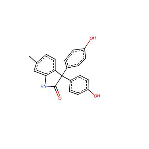 Cc1ccc2c(c1)NC(=O)C2(c1ccc(O)cc1)c1ccc(O)cc1